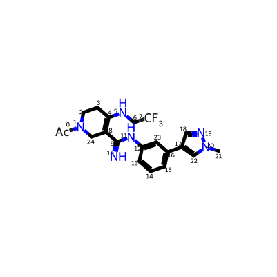 CC(=O)N1CCC(NCC(F)(F)F)=C(C(=N)Nc2cccc(-c3cnn(C)c3)c2)C1